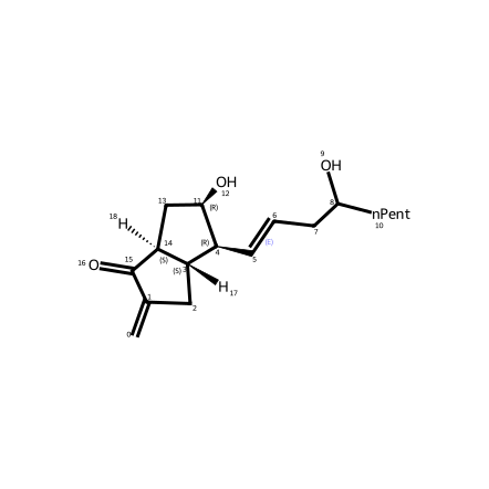 C=C1C[C@H]2[C@H](/C=C/CC(O)CCCCC)[C@H](O)C[C@@H]2C1=O